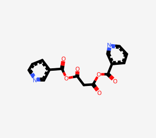 O=C(CC(=O)OC(=O)c1cccnc1)OC(=O)c1cccnc1